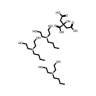 CCCCN(CCO)CCO.CCCCN(CCO)CCO.CCCCN(CCO)CCO.O=C(O)CC(O)(CC(=O)O)C(=O)O